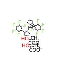 C=C(O)C(=O)[O-].C=C(O)C(=O)[O-].Fc1c(F)c(F)c(C2=[C]([Hf+2][C]3=C(c4c(F)c(F)c(F)c(F)c4F)C=CC3)CC=C2)c(F)c1F